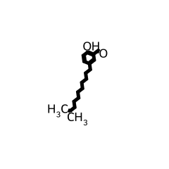 CC(C)CCCCCCCCCc1ccc(O)c(C=O)c1